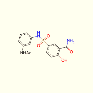 CC(=O)Nc1cccc(NS(=O)(=O)c2ccc(O)c(C(N)=O)c2)c1